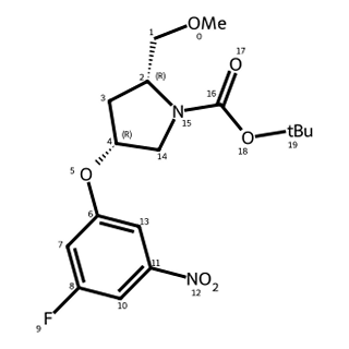 COC[C@H]1C[C@@H](Oc2cc(F)cc([N+](=O)[O-])c2)CN1C(=O)OC(C)(C)C